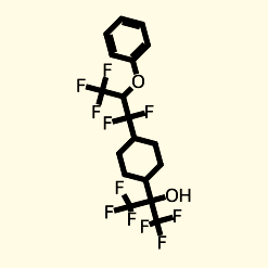 OC(C1CCC(C(F)(F)C(Oc2ccccc2)C(F)(F)F)CC1)(C(F)(F)F)C(F)(F)F